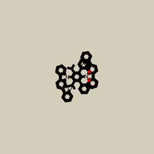 CC(C)c1c(-c2ccccc2F)c(-n2c3ccccc3c3ccc4c5ccccc5oc4c32)c(-c2ccccc2F)c(C(C)C)c1-n1c2ccccc2c2ccc3c4ccccc4oc3c21